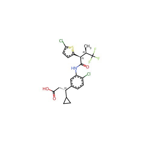 C[C@H]([C@@H](C(=O)Nc1cc([C@@H](CC(=O)O)C2CC2)ccc1Cl)c1ccc(Cl)s1)C(F)(F)F